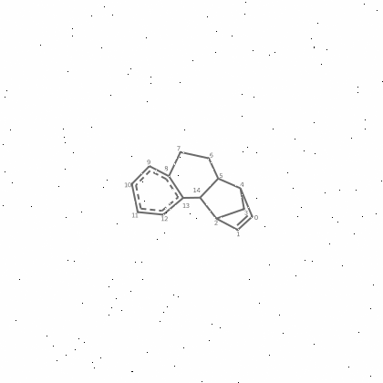 C1=CC2CC1C1CCc3ccccc3C21